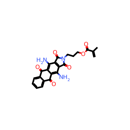 C=C(C)C(=O)OCCCn1c(=O)c2c(N)c3c(=O)c4ccccc4c(=O)c3c(N)c2c1=O